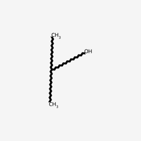 CCCCCCCCCCCCCCCCC(CCCCCCCCCCCCCCCC)CCCCCCCCCCCCCCCCCO